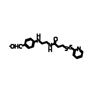 O=[C]c1ccc(NCCNC(=O)CCSSc2ccccn2)cc1